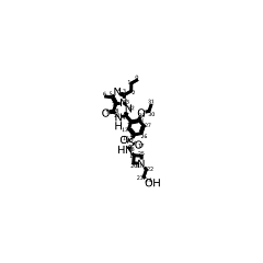 CCCc1nc(C)c2c(=O)[nH]c(-c3cc(S(=O)(=O)NC4CN(CCO)C4)ccc3OCC)nn12